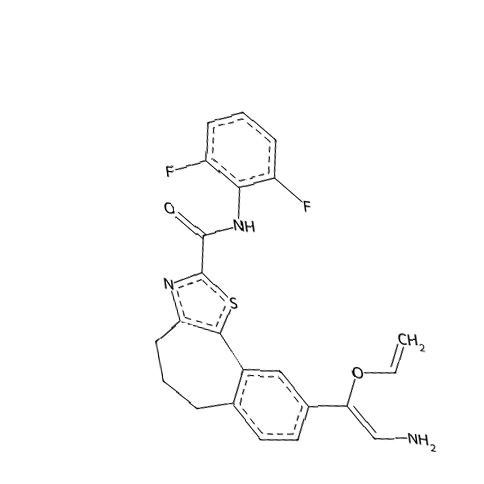 C=CO/C(=C\N)c1ccc2c(c1)-c1sc(C(=O)Nc3c(F)cccc3F)nc1CCC2